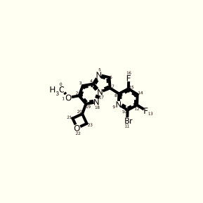 COc1cc2ncc(-c3nc(Br)c(F)cc3F)n2nc1C1COC1